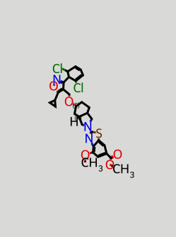 COC(=O)c1cc(OC)c2nc(N3CC4CC[C@H](OCc5c(C6C(Cl)=CC=CC6Cl)noc5C5CC5)C[C@H]4C3)sc2c1